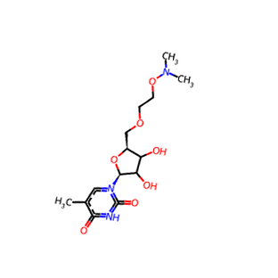 Cc1cn([C@H]2O[C@@H](COCCON(C)C)C(O)C2O)c(=O)[nH]c1=O